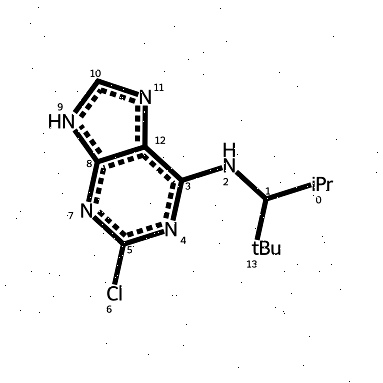 CC(C)C(Nc1nc(Cl)nc2[nH]cnc12)C(C)(C)C